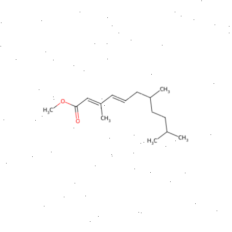 COC(=O)/C=C(C)/C=C/CC(C)CCC(C)C